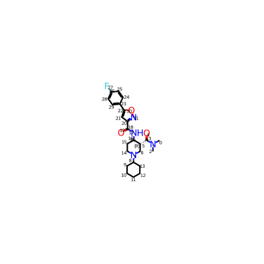 CN(C)C(=O)[C@@H]1CN(C2CCCCC2)CC[C@H]1NC(=O)c1cc(-c2ccc(F)cc2)on1